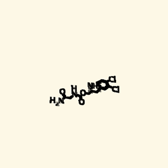 NC(=O)CNC(=O)OC[C@H](N)Cc1ccc(Cl)c(Cl)c1